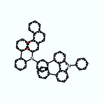 c1ccc(-c2ccccc2N(c2cccc(-c3cccc4c3c3c(-c5ccccc5)cccc3n4-c3ccccc3)c2)c2ccc3c(ccc4ccccc43)c2)cc1